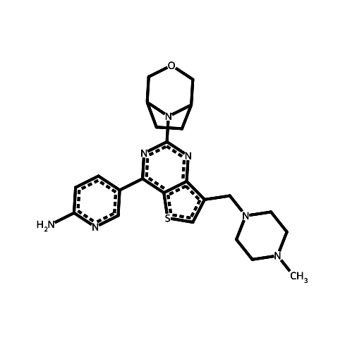 CN1CCN(Cc2csc3c(-c4ccc(N)nc4)nc(N4C5CCC4COC5)nc23)CC1